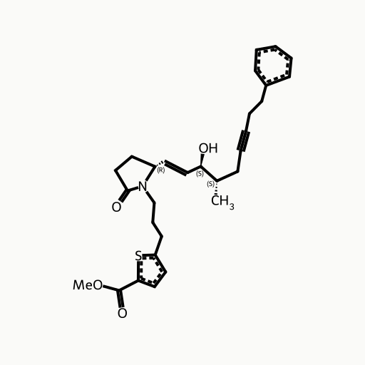 COC(=O)c1ccc(CCCN2C(=O)CC[C@@H]2C=C[C@@H](O)[C@@H](C)CC#CCCc2ccccc2)s1